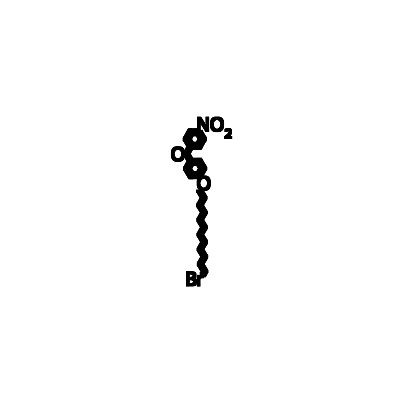 O=C(c1ccc(OCCCCCCCCCCCCBr)cc1)c1ccc([N+](=O)[O-])cc1